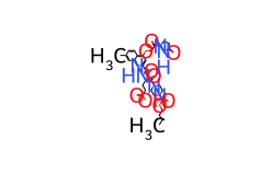 CCCCOC(=O)N1CCN(C(=O)C(CCC(=O)O)NC(=O)c2cc(OCC(=O)N3CCC(=O)N3)c3ccc(C)cc3n2)CC1